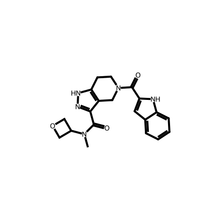 CN(C(=O)c1n[nH]c2c1CN(C(=O)c1cc3ccccc3[nH]1)CC2)C1COC1